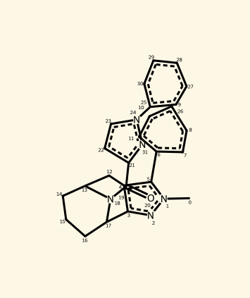 Cn1nc2c(c1-c1ccccc1)CC1CCCC2N1C(=O)c1ccn(-c2ccccc2)n1